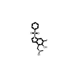 CCN(C)Cc1c(O)c(F)cc2c1ccn2S(=O)(=O)c1ccccc1